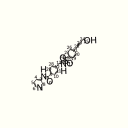 O=C(Nc1cccnc1)c1ccc(CNS(=O)(=O)c2ccc(C#CCO)cc2)cc1